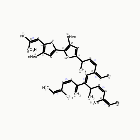 C=C(/C=C\C(C)=C/C)/C(=C/C(/C=C\C(C)c1cc(CCCCCC)c(-c2cc(CCCCCC)c(/C=C(/C#N)C(=O)O)s2)s1)=C/CC)C(C)/C=C\C(C)=C/CC